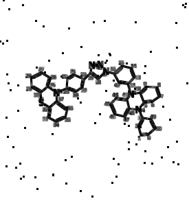 c1ccc(N2c3ccccc3N(c3cccc(-n4cc(-c5ccc(N6c7ccccc7Sc7ccccc76)cc5)nn4)c3)c3ccccc32)cc1